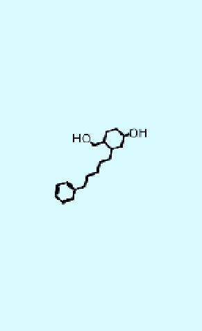 OCC1CCC(O)CC1CCCCCc1ccccc1